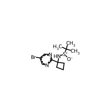 CC(C)(C)[S+]([O-])NC1(c2ncc(Br)cn2)CCC1